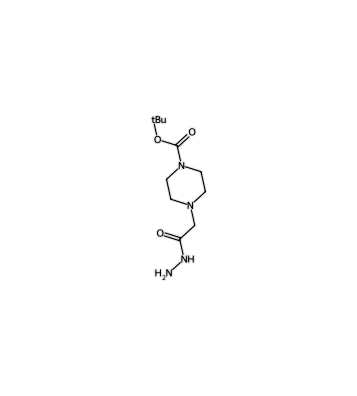 CC(C)(C)OC(=O)N1CCN(CC(=O)NN)CC1